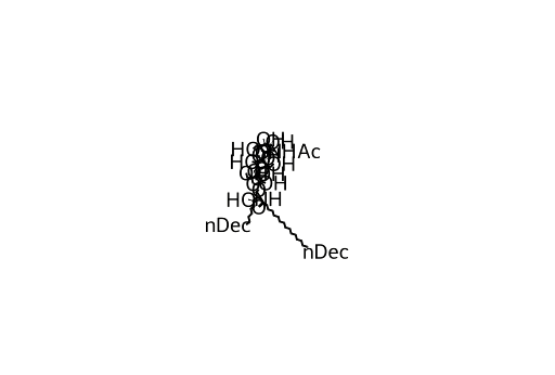 CCCCCCCCCCCCC/C=C/[C@@H](O)[C@H](CO[C@@H]1OC(CO)[C@@H](O[C@@H]2OC(CO)[C@@H](O[C@@H]3OC(CO)[C@@H](O)[C@H](O)C3NC(C)=O)[C@H](O)C2O)[C@H](O)C1O)NC(=O)CCCCCCCCCCCCCCCCCCCCCCCCC